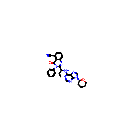 CCC(Nc1ncnc2c1ncn2C1CCCCO1)c1nc2cccc(C#N)c2c(=O)n1-c1ccccc1